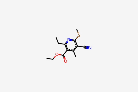 CCOC(=O)c1c(CC)nc(SC)c(C#N)c1C